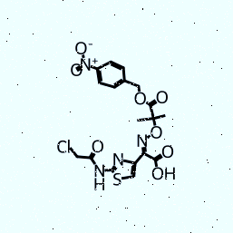 CC(C)(ON=C(C(=O)O)c1csc(NC(=O)CCl)n1)C(=O)OCc1ccc([N+](=O)[O-])cc1